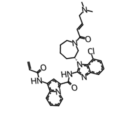 C=CC(=O)Nc1cc(C(=O)Nc2nc3cccc(Cl)c3n2[C@@H]2CCCCN(C(=O)/C=C/CN(C)C)C2)n2ccccc12